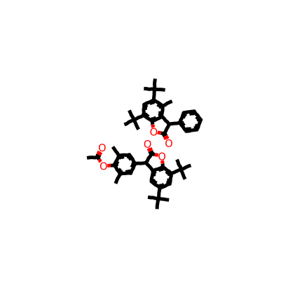 CC(=O)Oc1c(C)cc(C2C(=O)Oc3c2cc(C(C)(C)C)cc3C(C)(C)C)cc1C.Cc1c(C(C)(C)C)cc(C(C)(C)C)c2c1C(c1ccccc1)C(=O)O2